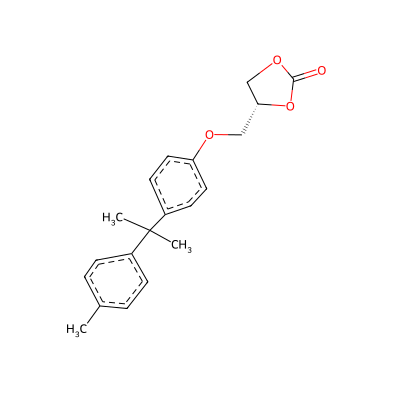 Cc1ccc(C(C)(C)c2ccc(OC[C@@H]3COC(=O)O3)cc2)cc1